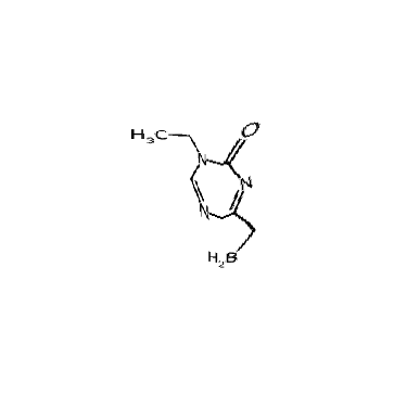 BCc1ncn(CC)c(=O)n1